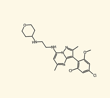 COc1cc(Cl)cc(Cl)c1-c1c(C)nn2c(NCCNC3CCOCC3)cc(C)nc12